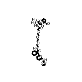 CC(C)(C)C(NC(=O)COCCOCCOCCNC(=O)C1(Cc2cccc(Nc3nccs3)n2)CCCCC1)C(=O)N1CCC[C@H]1C=O